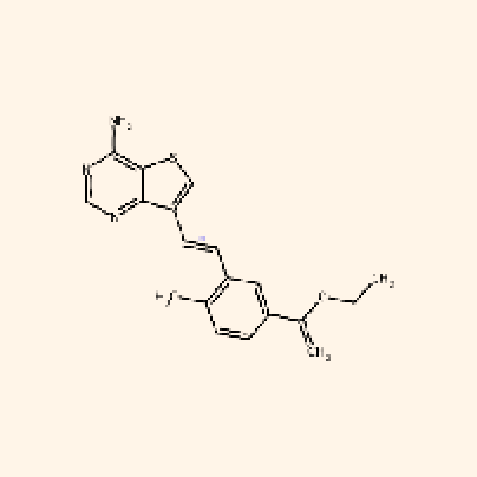 C=C(OCC)c1ccc(C)c(/C=C/c2csc3c(N)ncnc23)c1